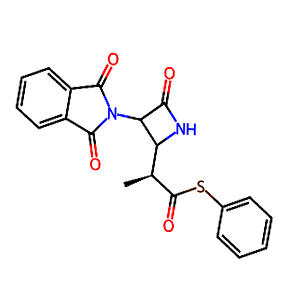 C[C@H](C(=O)Sc1ccccc1)C1NC(=O)C1N1C(=O)c2ccccc2C1=O